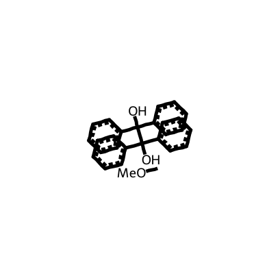 COC.OC(c1ccccc1)(c1ccccc1)C(O)(c1ccccc1)c1ccccc1